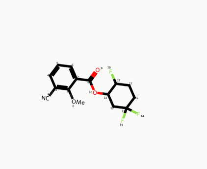 COc1c(C#N)cccc1C(=O)OC1CC(F)(F)CCC1F